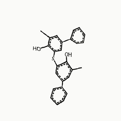 Cc1cc(-c2ccccc2)cc(Sc2cc(-c3ccccc3)cc(C)c2O)c1O